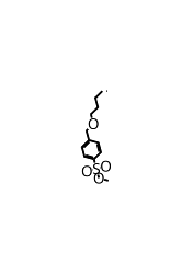 [CH2]CCCOCc1ccc(S(=O)(=O)OC)cc1